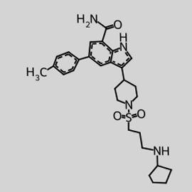 Cc1ccc(-c2cc(C(N)=O)c3[nH]cc(C4CCN(S(=O)(=O)CCCNC5CCCC5)CC4)c3c2)cc1